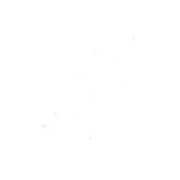 CC(C)(C)c1ccc(C(=O)N=N)cc1